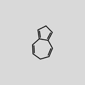 C1=CC2=CCC=C2C=CC1